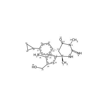 Bc1cc([C@@]2(C)NC(=N)N(C)C(=O)[C@H]2c2ccc(C3CC3)cc2)sc1CO